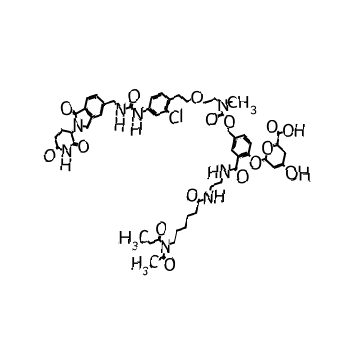 CCC(=O)N(CCCCCC(=O)NCCNC(=O)c1cc(COC(=O)N(C)CCOCCc2ccc(NC(=O)NCc3ccc4c(c3)CN(C3CCC(=O)NC3=O)C4=O)cc2Cl)ccc1OC1CC(O)CC(C(=O)O)O1)C(C)=O